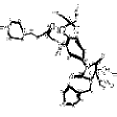 CC1(C)C(=O)N(c2ccc(OC(F)(F)F)c(NC(=O)CCN3CCSCC3)c2)C(=O)N1Cc1ccncc1